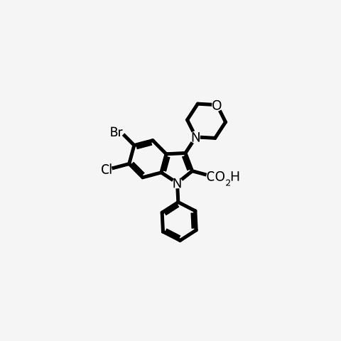 O=C(O)c1c(N2CCOCC2)c2cc(Br)c(Cl)cc2n1-c1ccccc1